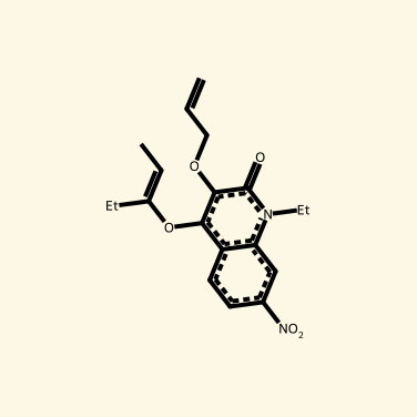 C=CCOc1c(OC(=CC)CC)c2ccc([N+](=O)[O-])cc2n(CC)c1=O